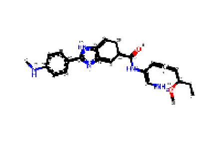 CCC(C=C=C/C(=C\N)NC(=O)C1C=c2nc(-c3ccc(NC)cc3)[nH]c2=CC1)OC